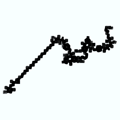 COCCOCCC(=O)N[C@H](C(=O)N[C@@H](C)C(=O)Nc1ccc(COC(=O)N2c3cc(OCCCCCOc4cc5c(cc4OC)C(=O)N4C=C(C)C[C@H]4[C@H](O)N5C(=O)OCc4ccc(NC(=O)[C@H](C)NC(=O)[C@@H](NC(=O)CCOCCOCCOCCOCCOCCOCCOCCOCCNC(=O)CCN5C(=O)CC(C(C)C)C5=O)C(C)C)cc4)c(OC)cc3C(=O)N3C=C(C)C[C@H]3[C@@H]2O)cc1)C(C)C